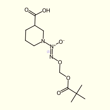 CC(C)(C)C(=O)OCO/N=[N+](\[O-])N1CCCC(C(=O)O)C1